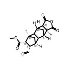 COC(=O)[C@H]1[C@@H](C=O)[C@H]2C[C@@H]1C1C2[C@@H]2C[C@H]1[C@H]1C(=O)OC(=O)[C@H]12